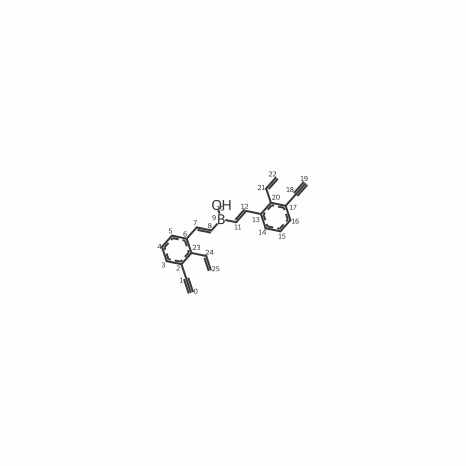 C#Cc1cccc(C=CB(O)C=Cc2cccc(C#C)c2C=C)c1C=C